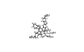 CC(C)(C)c1ccc(N2B3c4cc(C(C)(C)C)ccc4-n4c5ccc(C(C)(C)C)cc5c5c6c(oc7ccccc76)c(c3c54)-c3cc4c(cc32)oc2cc(C(C)(C)C)ccc24)cc1